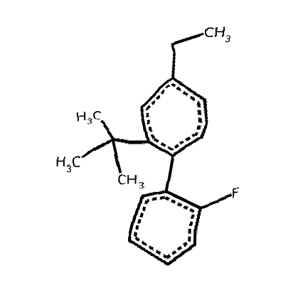 CCc1ccc(-c2ccccc2F)c(C(C)(C)C)c1